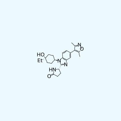 CC[C@]1(O)CC[C@@H](n2c([C@@H]3CCC(=O)N3)nc3cc(-c4c(C)noc4C)ccc32)CC1